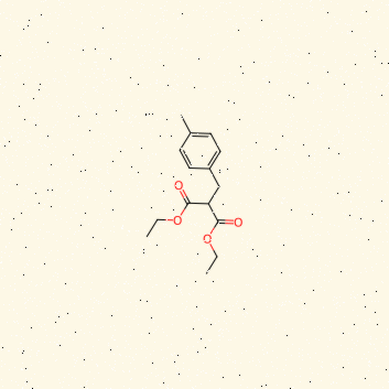 CCOC(=O)C(Cc1ccc(C)cc1)C(=O)OCC